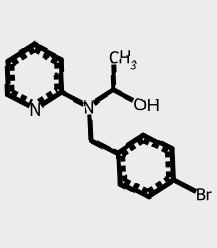 CC(O)N(Cc1ccc(Br)cc1)c1ccccn1